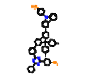 Cc1ccc(C2(c3ccc(C)cc3)c3ccc(-c4ccc5c(c4)c4ccccc4n5-c4ccc(P)cc4)cc3-c3ccc(-c4cccc(-c5nc(-c6ccccc6)nc(-c6ccc(P)cc6)n5)c4)cc32)cc1